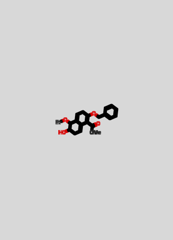 CCOC1C2=CCC(OCc3ccccc3)=C(C(=O)OC)C2=CCC1O